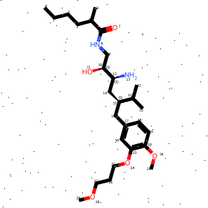 CCCCC(C)C(=O)NC[C@H](O)[C@@H](N)C[C@H](Cc1ccc(OC)c(OCCCOC)c1)C(C)C